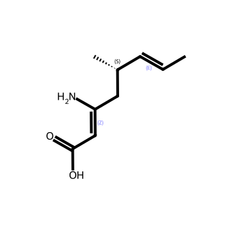 C/C=C/[C@@H](C)C/C(N)=C/C(=O)O